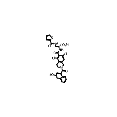 O=C(NC[C@H](NC(=O)c1c(Cl)cc2c(c1Cl)CCN(C(=O)c1cc(O)nc3ccccc13)C2)C(=O)O)c1cccs1